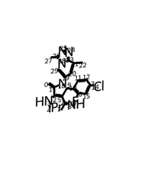 C=C1C(NC(C)C)=C(C(C)=N)C(c2ccc(Cl)cc2F)N1c1cc(C)c2nnc(C)n2c1